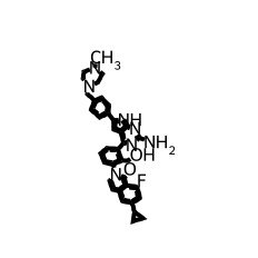 CN1CCN(Cc2ccc(-c3cc4c(-c5cccc(-n6ccc7cc(C8CC8)cc(F)c7c6=O)c5CO)nc(N)nc4[nH]3)cc2)CC1